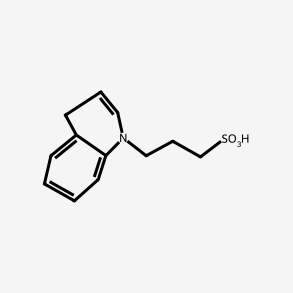 O=S(=O)(O)CCCN1C=CCc2ccccc21